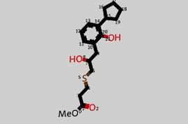 COC(=O)CCSCC(O)Cc1cccc(C2CCCC2)c1O